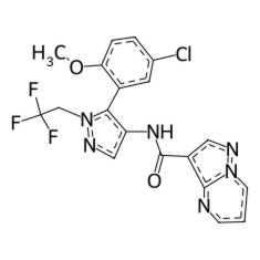 COc1ccc(Cl)cc1-c1c(NC(=O)c2cnn3cccnc23)cnn1CC(F)(F)F